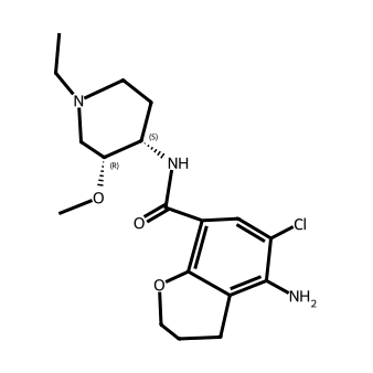 CCN1CC[C@H](NC(=O)c2cc(Cl)c(N)c3c2OCCC3)[C@H](OC)C1